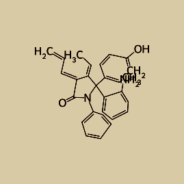 C=C/C=C1/C(=O)N(c2ccccc2)C(C(/C=C\C(=C)O)=C/C)(c2ccccc2N)/C1=C/C